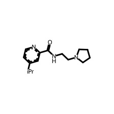 CC(C)c1ccnc(C(=O)NCCN2CCCC2)c1